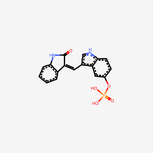 O=C1Nc2ccccc2C1=Cc1c[nH]c2ccc(OP(=O)(O)O)cc12